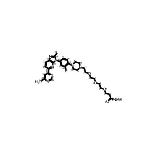 CNC(=O)CCOCCOCCOCCN1CCN(c2ccc(-n3c(C)nc4ccc(-c5cc(N)ncn5)nc43)cc2F)CC1